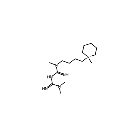 CN(C)C(=N)NC(=N)N(C)CCCC[N+]1(C)CCCCC1